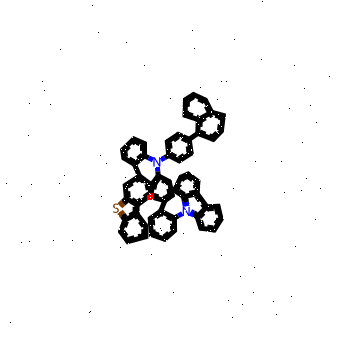 c1ccc(N(c2ccc(-c3ccccc3-n3c4ccccc4c4ccccc43)cc2)c2ccc(-c3cccc4ccccc34)cc2)c(-c2ccc3c(c2)sc2ccccc23)c1